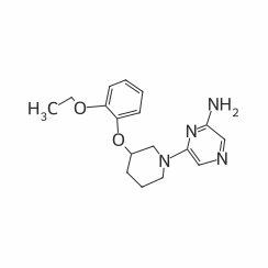 CCOc1ccccc1OC1CCCN(c2cncc(N)n2)C1